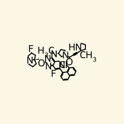 CN(c1nc(OC[C@@]23CCCN2C[C@H](F)C3)nc2c(F)c(-c3cccc4cccc(Cl)c34)ncc12)[C@@H]1CCN(C(=O)C#C[C@@]2(C)CCCN2)C1